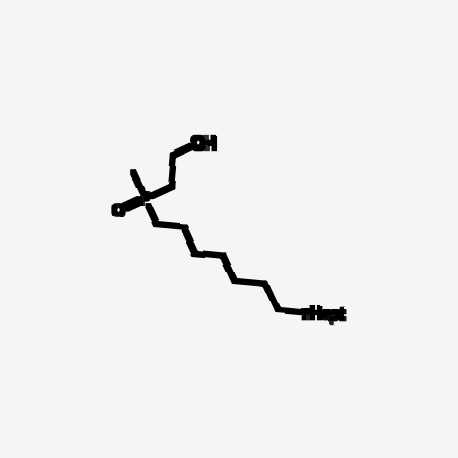 CCCCCCCCCCCCCCP(C)(=O)CCO